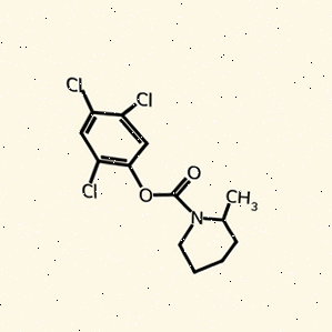 CC1CCCCN1C(=O)Oc1cc(Cl)c(Cl)cc1Cl